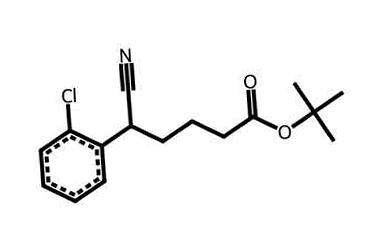 CC(C)(C)OC(=O)CCCC(C#N)c1ccccc1Cl